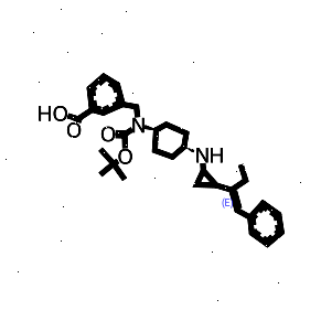 CC/C(=C\c1ccccc1)C1CC1N[C@H]1CC[C@H](N(Cc2cccc(C(=O)O)c2)C(=O)OC(C)(C)C)CC1